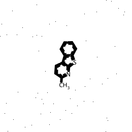 Cc1ccc2c(n1)sc1ccccc12